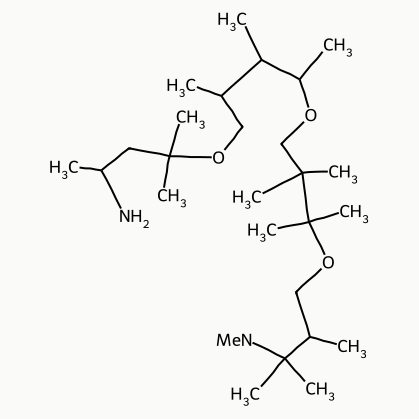 CNC(C)(C)C(C)COC(C)(C)C(C)(C)COC(C)C(C)C(C)COC(C)(C)CC(C)N